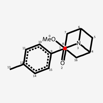 COC(=O)N1C2CC1CN(c1ccc(C)cc1)C2